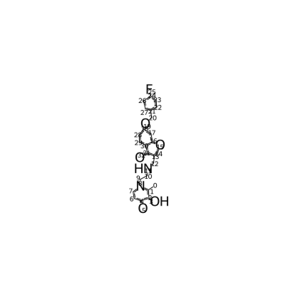 Cc1c(O)c(=O)ccn1CCNCc1coc2cc(OCc3ccc(F)cc3)ccc2c1=O